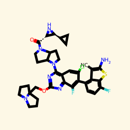 N#Cc1c(N)sc2c(F)ccc(-c3c(Cl)cc4c(N5CCC6C5CCN6C(=O)[C@@H]5N[C@H]5C5CC5)nc(OCC56CCCN5CCC6)nc4c3F)c12